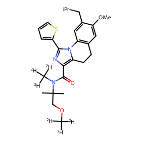 [2H]C([2H])([2H])OCC(C)(C)N(C(=O)c1nc(-c2cccs2)n2c1CCc1cc(OC)c(CC(C)C)cc1-2)C([2H])([2H])[2H]